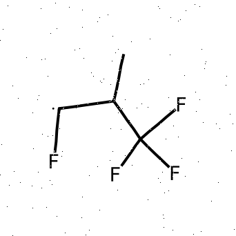 CC([CH]F)C(F)(F)F